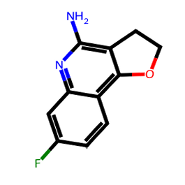 Nc1nc2cc(F)[c]cc2c2c1CCO2